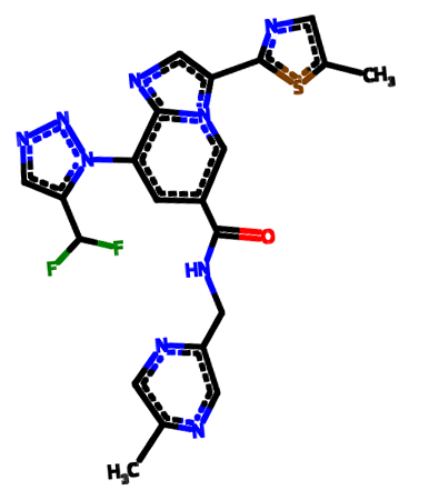 Cc1cnc(CNC(=O)c2cc(-n3nncc3C(F)F)c3ncc(-c4ncc(C)s4)n3c2)cn1